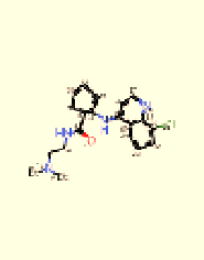 CCN(CC)CCNC(=O)c1ccccc1Nc1ccnc2c(Cl)cccc12